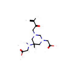 C=C(C)C(=O)CN1CN(CC(=O)O)CC(C)(N(C)CC(=O)O)C1